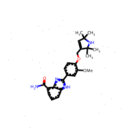 COc1cc(-c2nc3c(C(N)=O)cccc3[nH]2)ccc1OCC1=CC(C)(C)NC1(C)C